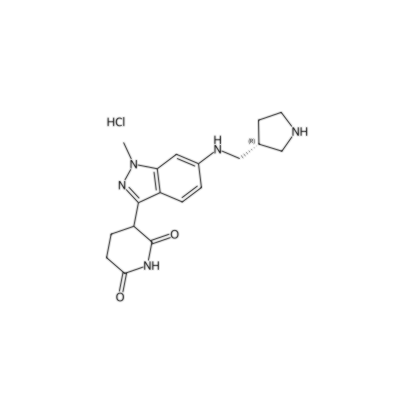 Cl.Cn1nc(C2CCC(=O)NC2=O)c2ccc(NC[C@@H]3CCNC3)cc21